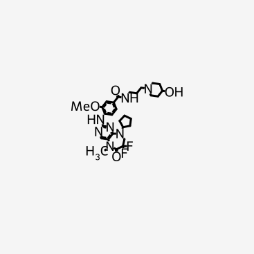 COc1cc(C(=O)NCCCN2CCC(O)CC2)ccc1Nc1ncc2c(n1)N(C1CCCC1)CC(F)(F)C(=O)N2C